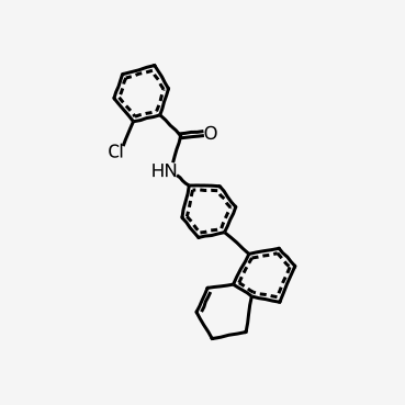 O=C(Nc1ccc(-c2cccc3c2C=CCC3)cc1)c1ccccc1Cl